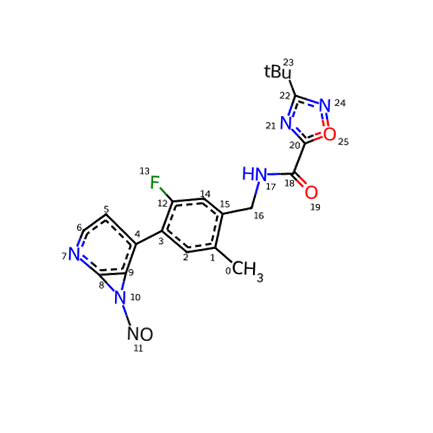 Cc1cc(-c2ccnc3c2N3N=O)c(F)cc1CNC(=O)c1nc(C(C)(C)C)no1